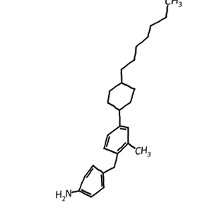 CCCCCCCC1CCC(c2ccc(Cc3ccc(N)cc3)c(C)c2)CC1